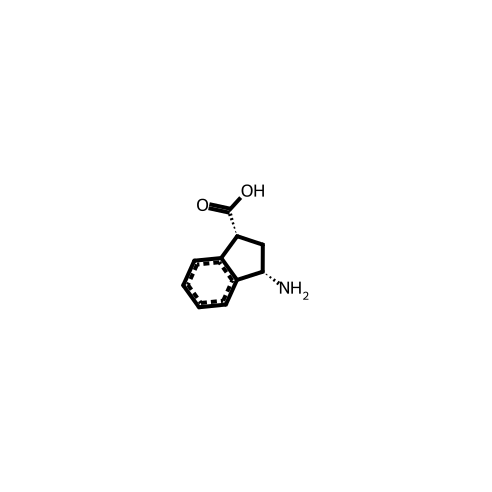 N[C@H]1C[C@@H](C(=O)O)c2ccccc21